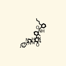 CCCCc1ccccc1C(=O)Nc1cccc(-c2cc(Nc3ccnc(N4CCN(C)CC4)n3)c(=O)n(C)n2)c1C